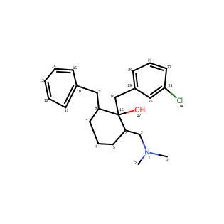 CN(C)CC1CCCC(Cc2ccccc2)C1(O)Cc1cccc(Cl)c1